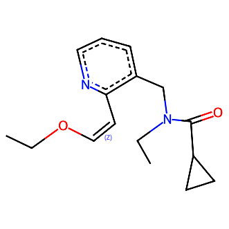 CCO/C=C\c1ncccc1CN(CC)C(=O)C1CC1